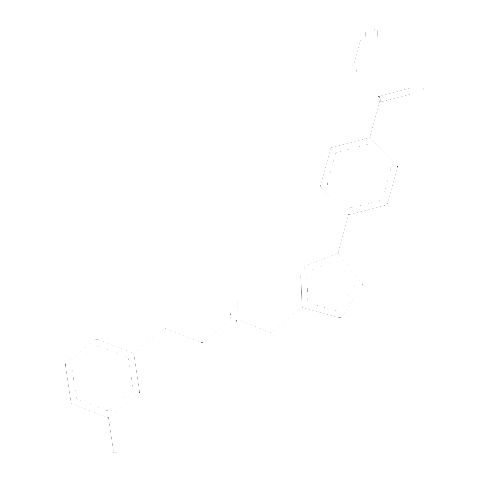 CCCOC(=O)c1ccc(-c2ccc(CNCCc3cccc(F)c3)o2)cc1